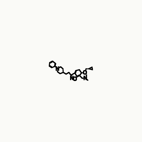 CN(C)CC1=c2onc(CCC3CCN(c4ccccc4)CC3)c2=CCC1OCC1CC1